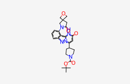 CC(C)(C)OC(=O)N1CCC(c2cc(=O)[nH]c3c4c(N5CC6(COC6)CC5=O)cccc4nn23)CC1